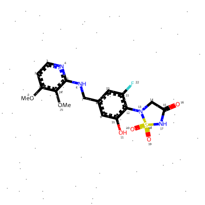 COc1ccnc(NCc2cc(O)c(N3CC(=O)NS3(=O)=O)c(F)c2)c1OC